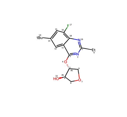 CCc1nc(O[C@@H]2COC[C@H]2O)c2cc(C(C)(C)C)cc(F)c2n1